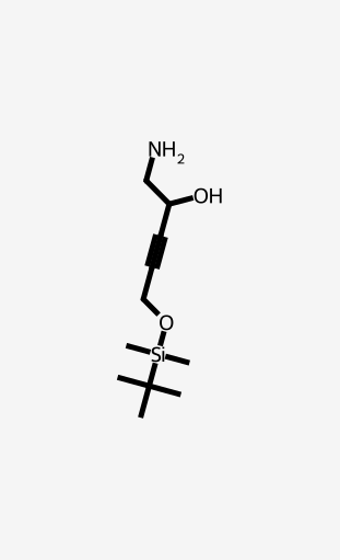 CC(C)(C)[Si](C)(C)OCC#CC(O)CN